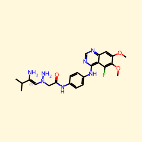 COc1cc2ncnc(Nc3ccc(NC(=O)CN(N)/C=C(\N)C(C)C)cc3)c2c(F)c1OC